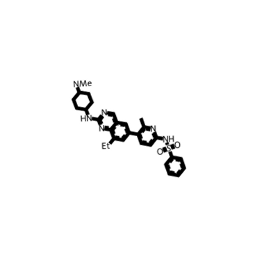 CCc1cc(-c2ccc(NS(=O)(=O)c3ccccc3)nc2C)cc2cnc(NC3CCC(NC)CC3)nc12